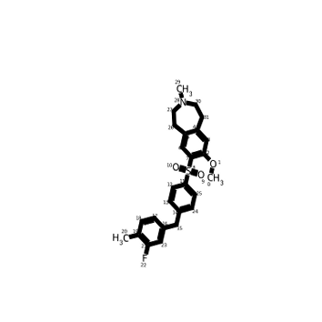 COc1cc2c(cc1S(=O)(=O)c1ccc(Cc3ccc(C)c(F)c3)cc1)CCN(C)CC2